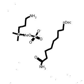 CCCCCCCCCCCCCCCCCC(N)=O.COS(=O)(=O)[O-].C[N+](C)(C)CCCN